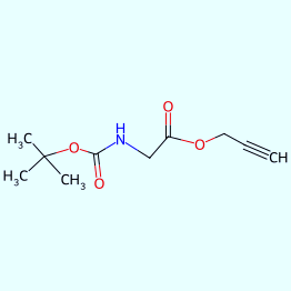 C#CCOC(=O)CNC(=O)OC(C)(C)C